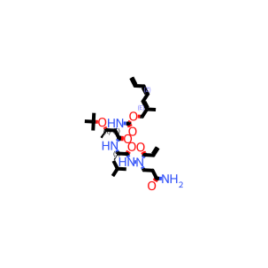 C=C/C=C\C=C(/C)COC(=O)N[C@H](C(=O)N[C@@H](CC(C)C)C(=O)NN(CCC(N)=O)C(=O)C=C)[C@@H](C)OC(C)(C)C